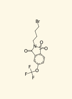 O=C1c2cc(OC(F)(F)F)ccc2S(=O)(=O)N1CCCCBr